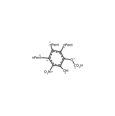 CCCCCc1c(CCCCC)c(OC(=O)O)c(O)c([N+](=O)[O-])c1CCCCC